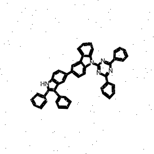 c1ccc(-c2nc(-c3ccccc3)nc(-n3c4ccccc4c4cc(-c5ccc6[nH]c(-c7ccccc7)c(-c7ccccc7)c6c5)ccc43)n2)cc1